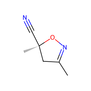 CC1=NO[C@](C)(C#N)C1